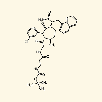 CC1CCN(C(Cc2cccc3ccccc23)C(N)=O)C(=O)C(c2cccc(Cl)c2)N1C(=O)CNC(=O)CCNC(=O)OC(C)(C)C